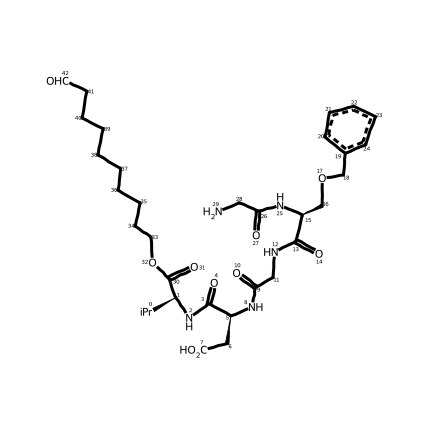 CC(C)[C@H](NC(=O)[C@H](CC(=O)O)NC(=O)CNC(=O)[C@H](COCc1ccccc1)NC(=O)CN)C(=O)OCCCCCCCCCC=O